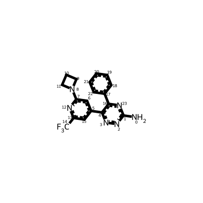 Nc1nnc(-c2cc(N3CCC3)nc(C(F)(F)F)c2)c(-c2ccccc2)n1